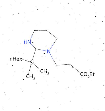 CCCCCC[Si](C)(C)C1NCCCN1CCC(=O)OCC